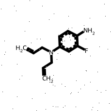 C=CCN(CC=C)c1ccc(N)c(F)c1